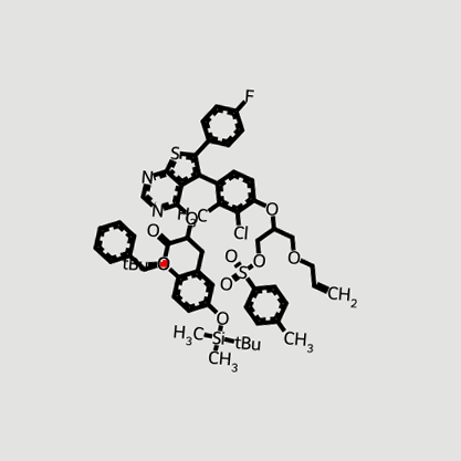 C=CCOCC(COS(=O)(=O)c1ccc(C)cc1)Oc1ccc(-c2c(-c3ccc(F)cc3)sc3ncnc(OC(Cc4cc(O[Si](C)(C)C(C)(C)C)ccc4OCc4ccccc4)C(=O)OC(C)(C)C)c23)c(C)c1Cl